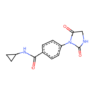 O=C(NC1CC1)c1ccc(N2C(=O)CNC2=O)cc1